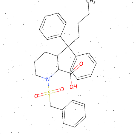 CCCCC(c1ccccc1)(c1ccccc1)C1CCCN(S(=O)(=O)Cc2ccccc2)C1C(=O)O